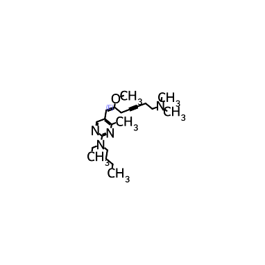 CCCCN(CC)c1ncc(/C=C(\CC#CCCN(C)C)OC)c(C)n1